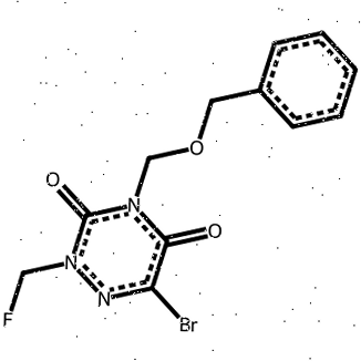 O=c1c(Br)nn(CF)c(=O)n1COCc1ccccc1